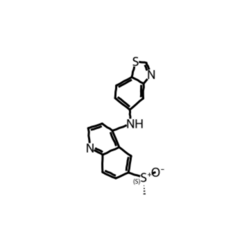 C[S@@+]([O-])c1ccc2nccc(Nc3ccc4scnc4c3)c2c1